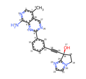 Cc1cnc(N)c2nc(-c3cccc(C#C[C@]4(O)CCn5ccnc54)c3)ncc12